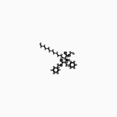 CCCCCCCCCCCC[C@H](N[C@@H](Cc1ccccc1)C(=O)OCc1ccccc1)C(=O)OCC